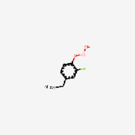 CCCCCCCCc1ccc(OBO)c(F)c1